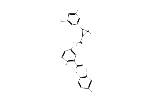 O=C(Nc1ccc(I)cc1F)c1cc(NC(=O)C2C(c3cc(Cl)cc(Cl)c3)C2(Cl)Cl)ccc1Cl